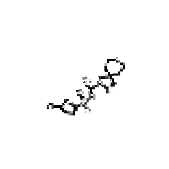 N/C(=N\S(=O)(=O)c1ccc(Cl)s1)N1CC2(C=N1)CCOCC2